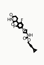 O=C1CCC(c2c(F)cc(N3CC(NC(=O)OCC#CC4CC4)C3)cc2F)C(=O)N1